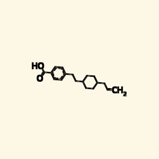 C=CCC1CCC(CCc2ccc(C(=O)O)cc2)CC1